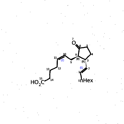 CCCCCC/C=C/[C@H]1CCC(=O)[C@@H]1C/C=C\CCCC(=O)O